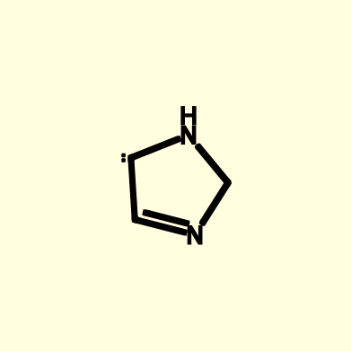 [C]1C=NCN1